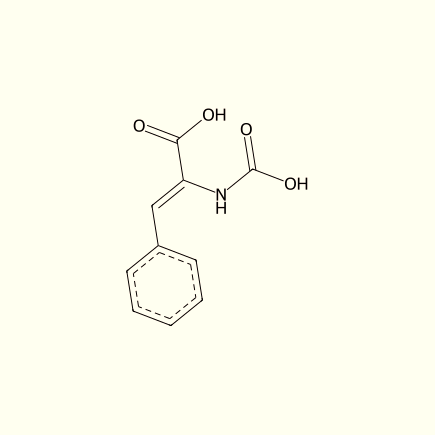 O=C(O)NC(=Cc1ccccc1)C(=O)O